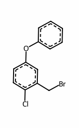 Clc1ccc(Oc2ccccc2)cc1CBr